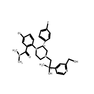 CCc1ccc(N2CCN(C[C@@](C)(O)c3ccnc(CO)c3)C[C@H]2c2ccc(F)cc2)c(C(=O)N(C)C)c1